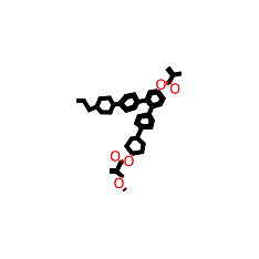 C=C(C)C(=O)Oc1ccc(-c2ccc(C3CCC(OC(=O)C(=C)COC)CC3)cc2)c(-c2ccc(C3CCC(CCC)CC3)cc2)c1